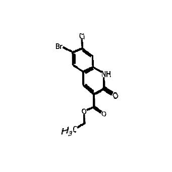 CCOC(=O)c1cc2cc(Br)c(Cl)cc2[nH]c1=O